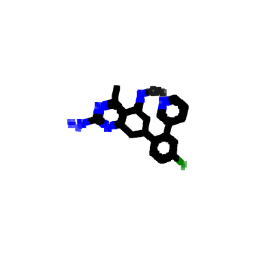 CC(=O)ON=C1CC(c2ccc(F)cc2-c2cccnc2)Cc2nc(N)nc(C)c21